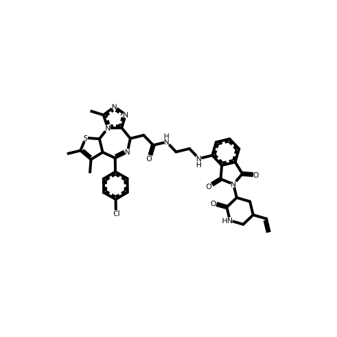 C=CC1CNC(=O)C(N2C(=O)c3cccc(NCCNC(=O)CC4N=C(c5ccc(Cl)cc5)C5C(C)=C(C)SC5n5c(C)nnc54)c3C2=O)C1